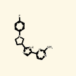 Nc1nccc(-c2cnc(C3CCN(c4ccc(F)cc4)C3)[nH]2)n1